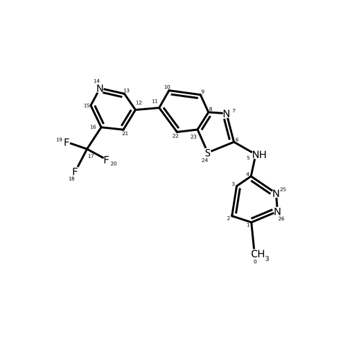 Cc1ccc(Nc2nc3ccc(-c4cncc(C(F)(F)F)c4)cc3s2)nn1